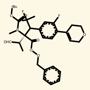 CC(C=O)[C@@](C(=O)OOCc1ccccc1)(C(c1ccc(C2=CCOCC2)c(F)c1)C(C)(C)F)N(C)C(=O)OC(C)(C)C